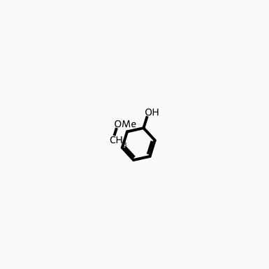 COC.OC1C=CC=CC1